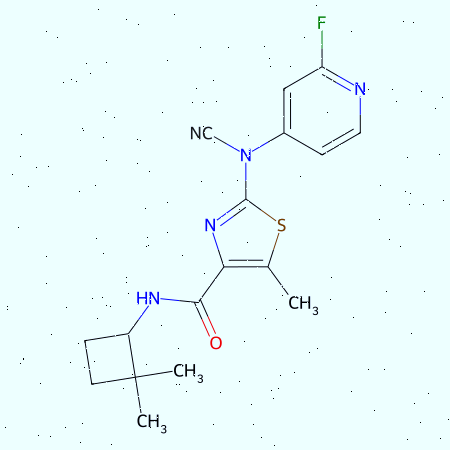 Cc1sc(N(C#N)c2ccnc(F)c2)nc1C(=O)NC1CCC1(C)C